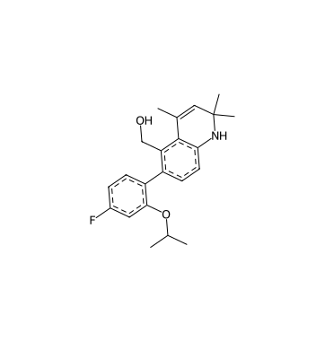 CC1=CC(C)(C)Nc2ccc(-c3ccc(F)cc3OC(C)C)c(CO)c21